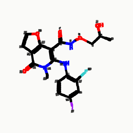 C[C@H](O)CONC(=O)c1c(Nc2ccc(I)cc2F)n(C)c(=O)c2ccoc12